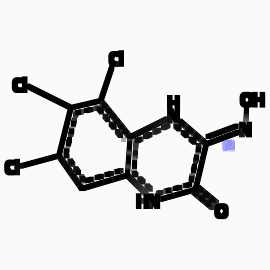 O=c1[nH]c2cc(Cl)c(Cl)c(Cl)c2[nH]/c1=N\O